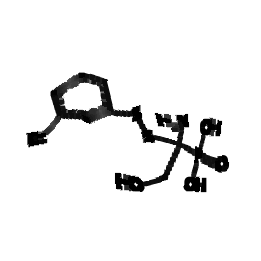 CCc1cccc(SSC(N)(CO)P(=O)(O)O)c1